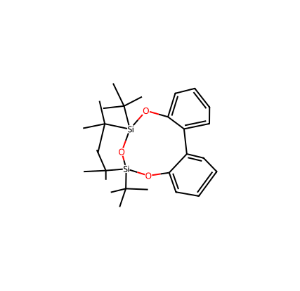 CC(C)(C)[Si]1(C(C)(C)C)Oc2ccccc2-c2ccccc2O[Si](C(C)(C)C)(C(C)(C)C)O1